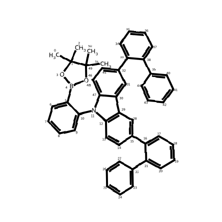 CC1(C)OB(c2ccccc2-n2c3ccc(-c4ccccc4-c4ccccc4)cc3c3cc(-c4ccccc4-c4ccccc4)ccc32)OC1(C)C